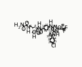 NC(=O)C(=O)NCCC[C@H](NC(=O)c1ccc(Nc2nc(NC3(c4ccc(Cl)cc4)CC3)nc(OCC(F)(F)F)n2)cc1)C(=O)O